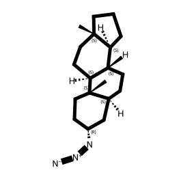 C[C@@]12CCC[C@H]1[C@@H]1CC[C@H]3C[C@H](N=[N+]=[N-])CC[C@]3(C)[C@H]1CC2